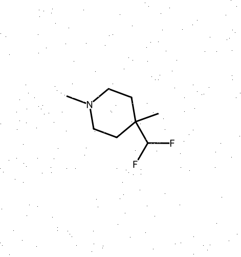 CN1CCC(C)(C(F)F)CC1